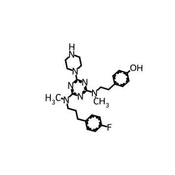 CN(CCCc1ccc(F)cc1)c1nc(N(C)CCc2ccc(O)cc2)nc(N2CCNCC2)n1